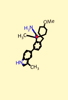 COC1CCC2(CC1)Cc1ccc(-c3ccc4[nH]cc(C)c4c3)cc1C21N=C(C)C(N)=N1